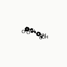 O=C(O)N[C@H]1CC[C@H](CCN2CCN(c3cccc(Cl)c3Cl)CC2)CC1